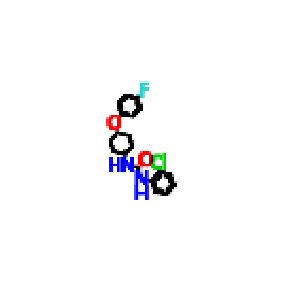 O=C(Nc1ccccc1Cl)N[C@H]1CC[C@@H](Oc2ccc(F)cc2)CC1